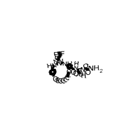 COC(=O)[C@H](CNC(=O)C(N)=O)NC(=O)c1ccc2cc1OCCCCCCOc1ccc(cc1)CNc1nc(nc(OCC(C)(F)F)n1)N2